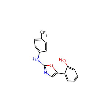 Oc1ccccc1-c1cnc(Nc2ccc(C(F)(F)F)cc2)o1